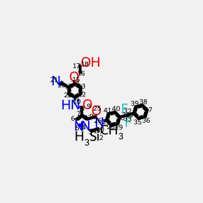 C[C@]1([SiH3])Cn2ncc(C(=O)Nc3ccc(OCCO)c(C#N)c3)c2C(=O)N1c1ccc(C(F)(F)c2ccccc2)cc1